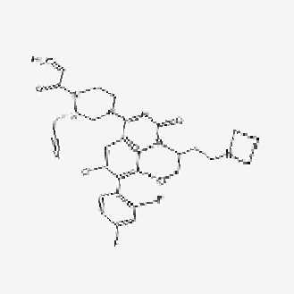 C=CC(=O)N1CCN(c2nc(=O)n3c4c(c(-c5ccc(F)cc5F)c(Cl)cc24)OCC3CCN2CCC2)C[C@@H]1CC#N